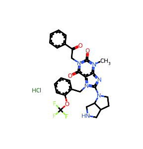 Cl.Cn1c(=O)n(CC(=O)c2ccccc2)c(=O)c2c1nc(N1CCC3CNCC31)n2Cc1ccccc1OC(F)(F)F